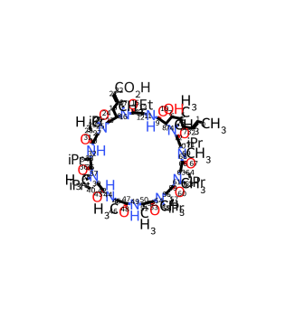 C/C=C/C[C@@H](C)[C@@H](O)[C@H]1C(=O)N[C@@H](CC)C(=O)N(C)C(C/C=C/C(=O)O)C(=O)N(C)[C@@H](CC(C)C)C(=O)NC(C(C)C)C(=O)N(C)[C@@H](CC(C)C)C(=O)N[C@@H](C)C(=O)N[C@H](C)C(=O)N(C)[C@@H](CC(C)C)C(=O)N(C)[C@@H](CC(C)C)C(=O)N(C)[C@@H](C(C)C)C(=O)N1C